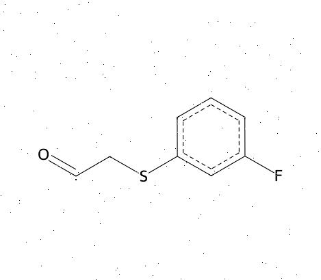 O=[C]CSc1cccc(F)c1